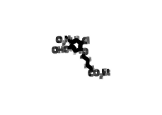 CCOC(=O)CCCCOc1cc(C=O)c([N+](=O)[O-])cc1Cl